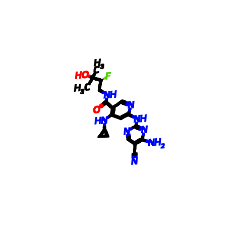 CC(C)(O)[C@H](F)CNC(=O)c1cnc(Nc2ncc(C#N)c(N)n2)cc1NC1CC1